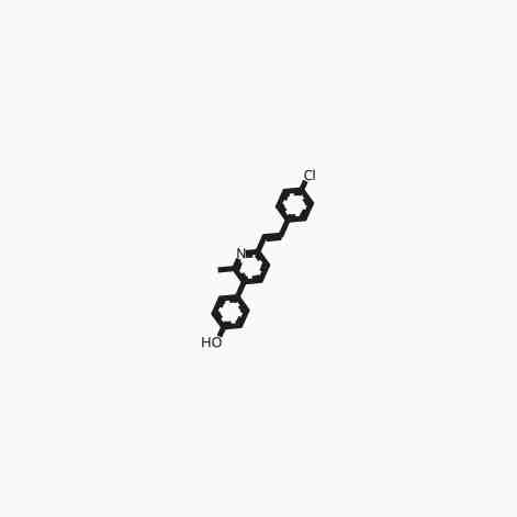 Cc1nc(C=Cc2ccc(Cl)cc2)ccc1-c1ccc(O)cc1